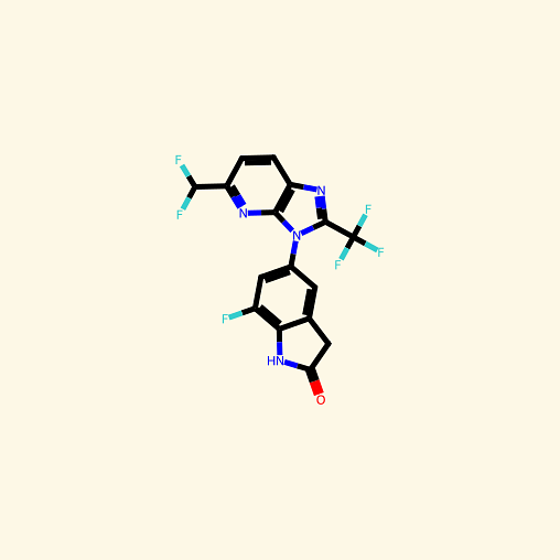 O=C1Cc2cc(-n3c(C(F)(F)F)nc4ccc(C(F)F)nc43)cc(F)c2N1